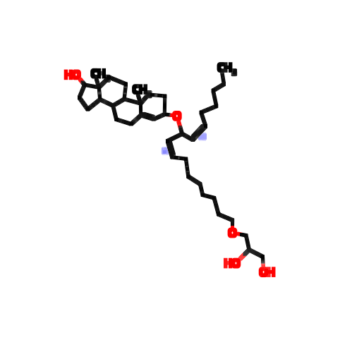 CCCCC/C=C\C(/C=C\CCCCCCCOCC(O)CO)OC1C=C2CCC3C(CCC4(C)C(O)CCC34)C2(C)CC1